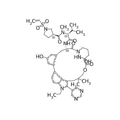 C=CS(=O)(=O)N1CC[C@H](C(=O)N(C)[C@H](C(=O)N[C@H]2Cc3cc(O)cc(c3)-c3ccc4c(c3)c(c(-c3cncnc3)n4CC)CC(C)(C)COC(=O)[C@@]3(O)CCCN(N3)C2=O)C(C)C)C1